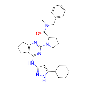 CN(Cc1ccccc1)C(=O)C1CCCN1c1nc2c(c(Nc3cc(C4CCCCC4)[nH]n3)n1)CCC2